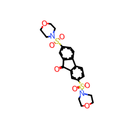 O=C1c2cc(S(=O)(=O)N3CCOCC3)ccc2-c2ccc(S(=O)(=O)N3CCOCC3)cc21